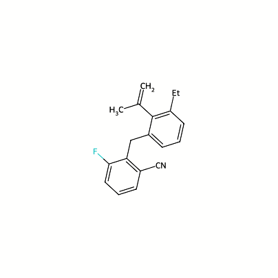 C=C(C)c1c(CC)cccc1Cc1c(F)cccc1C#N